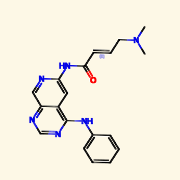 CN(C)C/C=C/C(=O)Nc1cc2c(Nc3ccccc3)ncnc2cn1